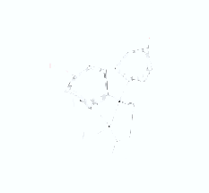 CC1CCC(c2ccc(O)cc2)(c2ccc(O)cc2)C1(C)C